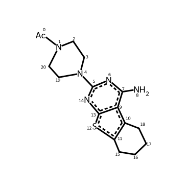 CC(=O)N1CCN(c2nc(N)c3c4c(sc3n2)CCCC4)CC1